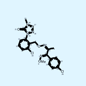 CON=C(C(C)=NOCc1c(Cl)cccc1-n1nnn(C)c1=O)c1ccc(Cl)cc1